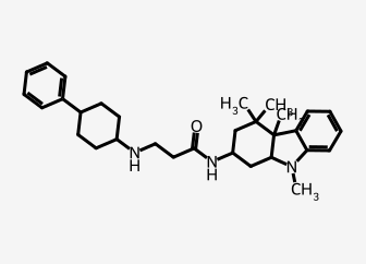 CN1c2ccccc2C2(C)C1CC(NC(=O)CCNC1CCC(c3ccccc3)CC1)CC2(C)C